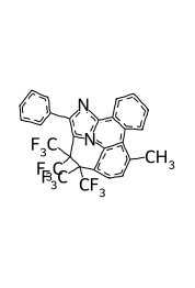 Cc1ccc2c3c1c1ccccc1c1nc(-c4ccccc4)c(n13)C(C(F)(F)F)(C(F)(F)F)C2(C(F)(F)F)C(F)(F)F